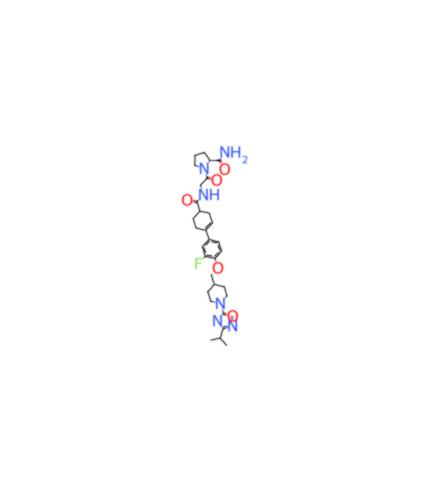 CC(C)c1noc(N2CCC(COc3ccc(C4=CCC(C(=O)NCC(=O)N5CCC[C@H]5C(N)=O)CC4)cc3F)CC2)n1